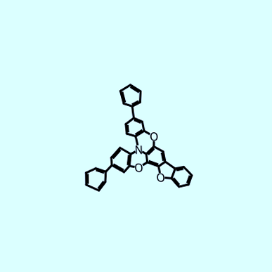 c1ccc(-c2ccc3c(c2)Oc2cc4c(oc5ccccc54)c4c2N3c2ccc(-c3ccccc3)cc2O4)cc1